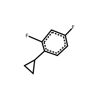 Fc1ccc(C2CC2)c(F)c1